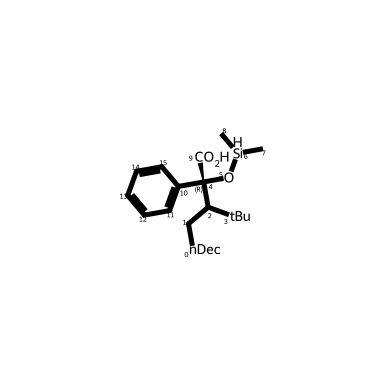 CCCCCCCCCCCC(C(C)(C)C)[C@](O[SiH](C)C)(C(=O)O)c1ccccc1